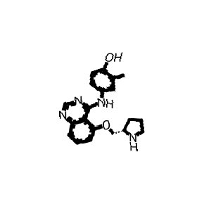 Cc1cc(Nc2ncnc3cccc(OC[C@@H]4CCCN4)c23)ccc1O